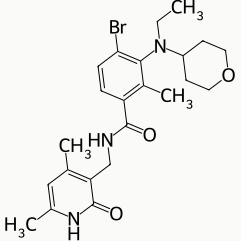 CCN(c1c(Br)ccc(C(=O)NCc2c(C)cc(C)[nH]c2=O)c1C)C1CCOCC1